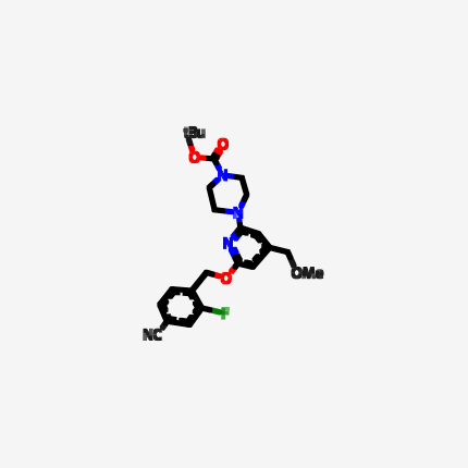 COCc1cc(OCc2ccc(C#N)cc2F)nc(N2CCN(C(=O)OC(C)(C)C)CC2)c1